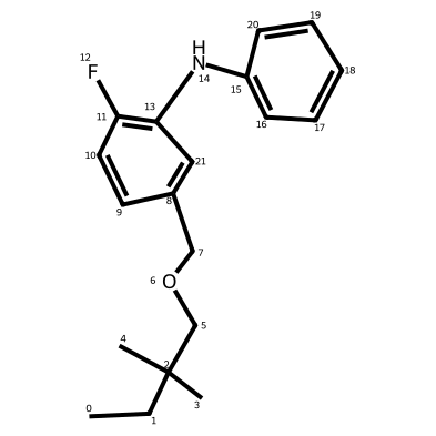 CCC(C)(C)COCc1ccc(F)c(Nc2ccccc2)c1